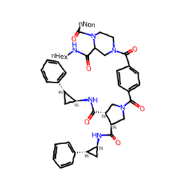 CCCCCCCCCC(=O)N1CCN(C(=O)c2ccc(C(=O)N3C[C@@H](C(=O)N[C@H]4C[C@@H]4c4ccccc4)[C@H](C(=O)N[C@H]4C[C@@H]4c4ccccc4)C3)cc2)CC1C(=O)NCCCCCC